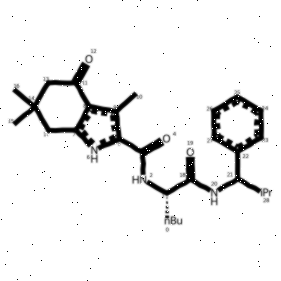 CCCC[C@H](NC(=O)c1[nH]c2c(c1C)C(=O)CC(C)(C)C2)C(=O)NC(c1ccccc1)C(C)C